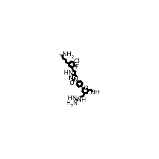 C[C@H](N)CCCc1cc(Cl)c(F)c(-c2cc3cn(-c4ccc([C@H]5CC(CCNC(=N)N)CC(CO)O5)cc4)c(=O)nc3[nH]2)c1